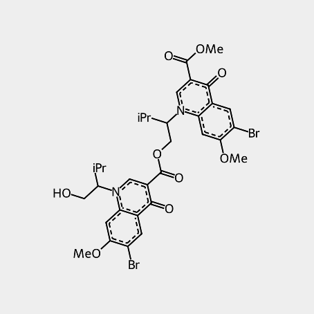 COC(=O)c1cn(C(COC(=O)c2cn(C(CO)C(C)C)c3cc(OC)c(Br)cc3c2=O)C(C)C)c2cc(OC)c(Br)cc2c1=O